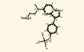 CNCCN(C)c1ccn2ncc(-c3ccc(OC(F)(F)F)cc3)c2n1